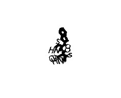 O=C[C@H]1NCC(=S)C1C(=O)[C@H]1NCC(=S)C1C(=O)C1Cc2ccccc2C1